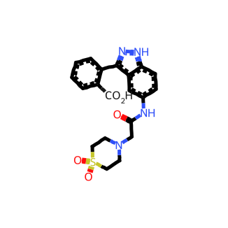 O=C(CN1CCS(=O)(=O)CC1)Nc1ccc2[nH]nc(-c3ccccc3C(=O)O)c2c1